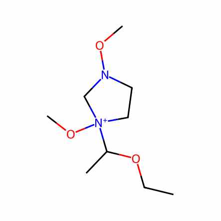 CCOC(C)[N+]1(OC)CCN(OC)C1